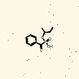 CCC(C)OP(=O)(O)C(=O)c1ccccc1